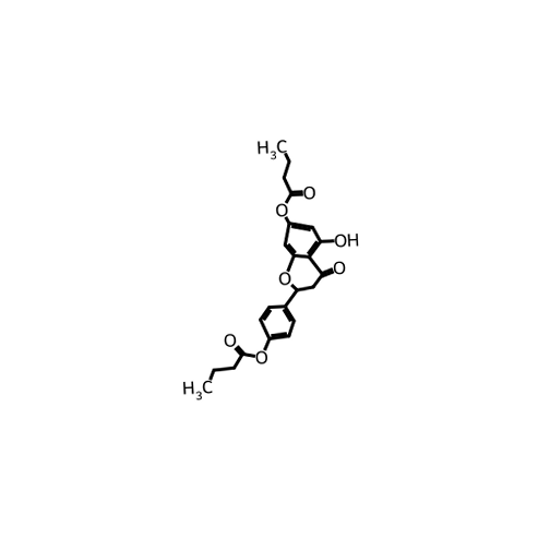 CCCC(=O)Oc1ccc(C2CC(=O)c3c(O)cc(OC(=O)CCC)cc3O2)cc1